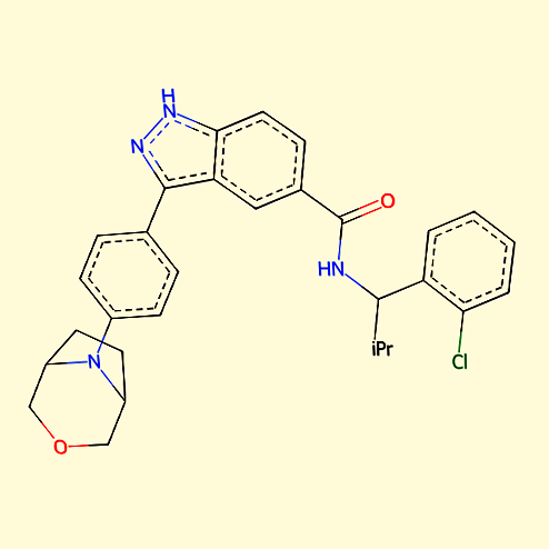 CC(C)C(NC(=O)c1ccc2[nH]nc(-c3ccc(N4C5CCC4COC5)cc3)c2c1)c1ccccc1Cl